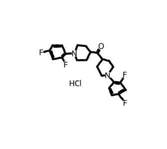 Cl.O=C(C1CCN(c2ccc(F)cc2F)CC1)C1CCN(c2ccc(F)cc2F)CC1